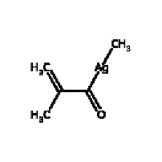 C=C(C)[C](=O)[Ag][CH3]